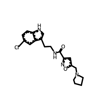 O=C(NCCc1c[nH]c2ccc(Cl)cc12)c1cc(CN2CCCC2)on1